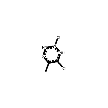 Cc1s[nH]n(Cl)[nH]c1Cl